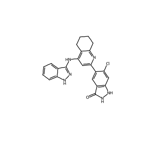 O=c1[nH][nH]c2cc(Cl)c(-c3cc(Nc4n[nH]c5ccccc45)c4c(n3)CCCC4)cc12